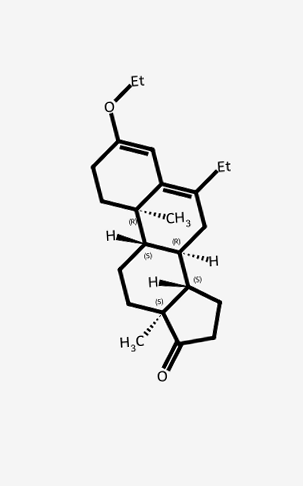 CCOC1=CC2=C(CC)C[C@@H]3[C@H](CC[C@]4(C)C(=O)CC[C@@H]34)[C@@]2(C)CC1